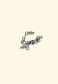 COCCOc1cc2c(cn1)NC(=O)[N+]2(N)Cc1ccc(CP(=O)(O)O)cc1